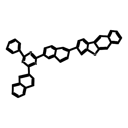 c1ccc(-c2nc(-c3ccc4ccccc4c3)nc(-c3ccc4cc(-c5ccc6c(c5)oc5cc7ccccc7cc56)ccc4c3)n2)cc1